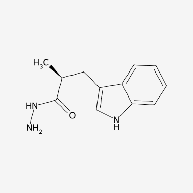 C[C@@H](Cc1c[nH]c2ccccc12)C(=O)NN